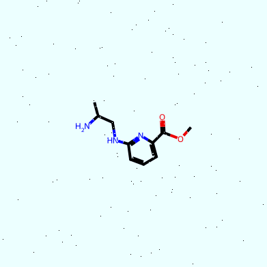 COC(=O)c1cccc(NCC(C)N)n1